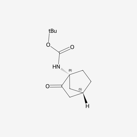 CC(C)(C)OC(=O)N[C@@]12CC[C@H](CC1=O)C2